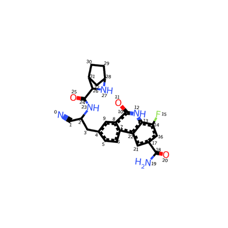 N#CC(Cc1ccc2c(c1)c(=O)[nH]c1c(F)cc(C(N)=O)cc12)NC(=O)C1NC2CCC1C2